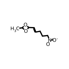 CC1OC(/C=C/CCC[N+](=O)[O-])O1